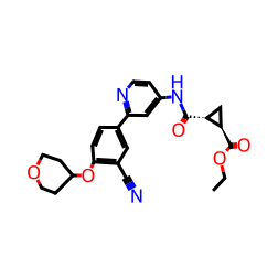 CCOC(=O)[C@@H]1C[C@H]1C(=O)Nc1ccnc(-c2ccc(OC3CCOCC3)c(C#N)c2)c1